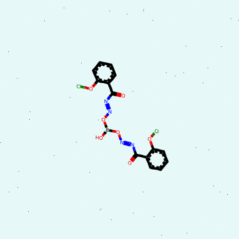 O=C(N=NOB(O)ON=NC(=O)c1ccccc1OCl)c1ccccc1OCl